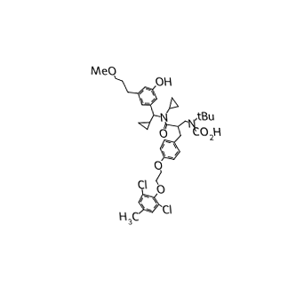 COCCCc1cc(O)cc(C(C2CC2)N(C(=O)C(Cc2ccc(OCCOc3c(Cl)cc(C)cc3Cl)cc2)CN(C(=O)O)C(C)(C)C)C2CC2)c1